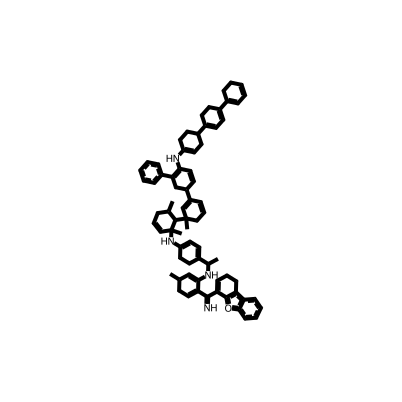 CC1C=C(NC(C)C2=CC=C(NC3(C)C=CCC(C)C3C3(C)C=C(C4C=CC(NC5=CCC(C6=CC=C(C7=CC=CCC7)CC6)CC5)=C(c5ccccc5)C4)C=CC3)CC2)C(C(=N)C2=CCCc3c2oc2ccccc32)=CC1